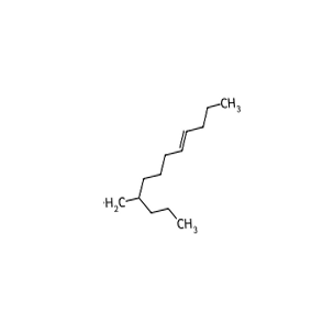 [CH2]C(CCC)CCCC=CCCC